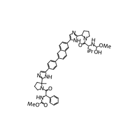 COC(=O)N[C@@H](C(=O)N1CCCC1(C)c1ncc(-c2ccc(-c3ccc4cc(-c5cnc(C6CCCN6C(=O)[C@@H](NC(O)OC)C(C)C)[nH]5)ccc4c3)cc2)[nH]1)c1ccccc1